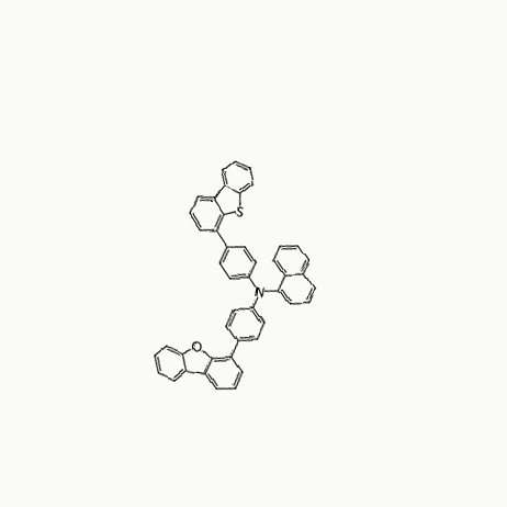 c1ccc2c(N(c3ccc(-c4cccc5c4oc4ccccc45)cc3)c3ccc(-c4cccc5c4sc4ccccc45)cc3)cccc2c1